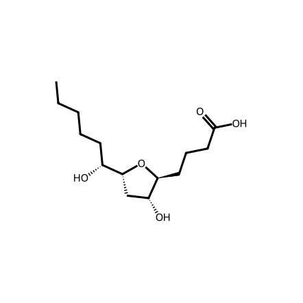 CCCCC[C@@H](O)[C@H]1C[C@@H](O)[C@H](CCCC(=O)O)O1